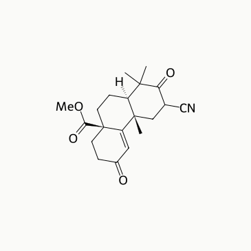 COC(=O)[C@]12CCC(=O)C=C1[C@@]1(C)CC(C#N)C(=O)C(C)(C)[C@@H]1CC2